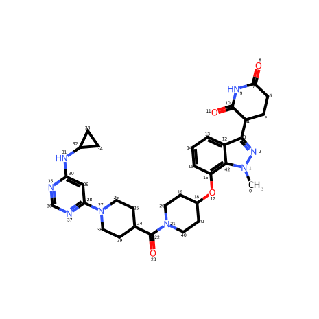 Cn1nc(C2CCC(=O)NC2=O)c2cccc(OC3CCN(C(=O)C4CCN(c5cc(NC6CC6)ncn5)CC4)CC3)c21